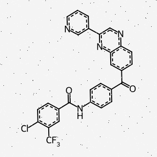 O=C(Nc1ccc(C(=O)c2ccc3ncc(-c4cccnc4)nc3c2)cc1)c1ccc(Cl)c(C(F)(F)F)c1